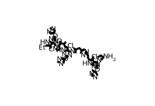 CCc1[nH]c2nc(Oc3cncnc3)nc(N3CCCC3C(O)C(C)c3[nH]c4nc(Oc5cncnc5)nc(N5CC(Cc6cnc(CCc7[nH]c8nc(Oc9cncnc9)nc(N9CCC(N)C9)c8c7Cl)nc6)C5)c4c3Cl)c2c1Cl